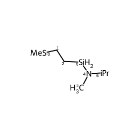 CSCC[SiH2]N(C)C(C)C